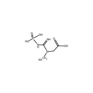 CN(CC(=O)O)C(=N)NP(=O)(O)O.[KH]